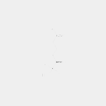 CCC(C)C(=O)CCCC(=O)C(C)(C)CC